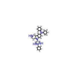 c1ccc(C2NCC(N3c4ccc(N(c5ccccc5)c5ccccc5)cc4C4CNCCC43)CN2)cc1